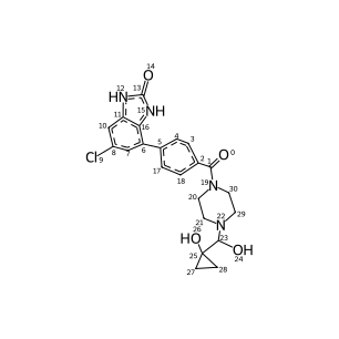 O=C(c1ccc(-c2cc(Cl)cc3[nH]c(=O)[nH]c23)cc1)N1CCN(C(O)C2(O)CC2)CC1